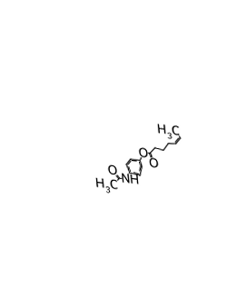 C/C=C\CCCC(=O)Oc1ccc(NC(C)=O)cc1